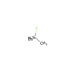 C[SiH2]F.[Zn]